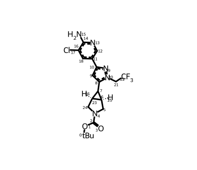 CC(C)(C)OC(=O)N1C[C@@H]2C(c3cc(-c4cnc(N)c(Cl)c4)nn3CC(F)(F)F)[C@@H]2C1